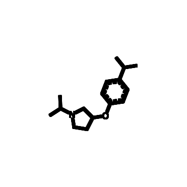 CC(C)c1ccc(OC2CCN(C(C)C)C2)cc1